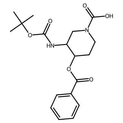 CC(C)(C)OC(=O)NC1CN(C(=O)O)CCC1OC(=O)c1ccccc1